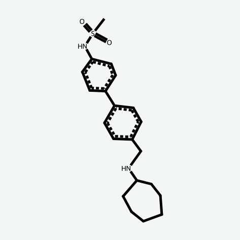 CS(=O)(=O)Nc1ccc(-c2ccc(CNC3CCCCCC3)cc2)cc1